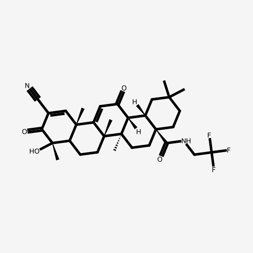 CC1(C)CC[C@]2(C(=O)NCC(F)(F)F)CC[C@]3(C)[C@H](C(=O)C=C4[C@@]5(C)C=C(C#N)C(=O)[C@@](C)(O)C5CC[C@]43C)[C@@H]2C1